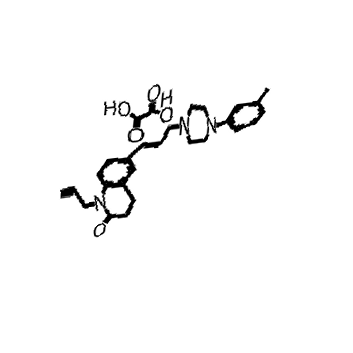 C=CCN1C(=O)CCc2cc(C=CCN3CCN(c4cccc(C)c4)CC3)ccc21.O=C(O)C(=O)O